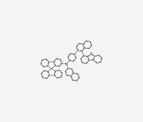 c1ccc2c(c1)-c1ccccc1C21c2ccccc2-c2ccc(N(c3ccc(-c4ccc5ccccc5c4-c4cccc5c4sc4ccccc45)cc3)c3ccc4ccccc4c3)cc21